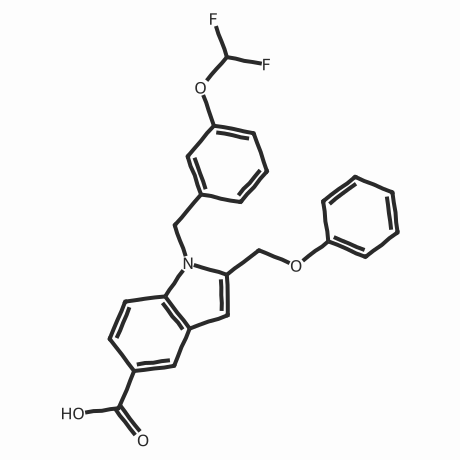 O=C(O)c1ccc2c(c1)cc(COc1ccccc1)n2Cc1cccc(OC(F)F)c1